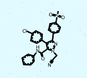 CS(=O)(=O)c1ccc(-c2nn(CC#N)c(C(=O)Nc3ccccc3)c2-c2ccc(Cl)cc2)cc1